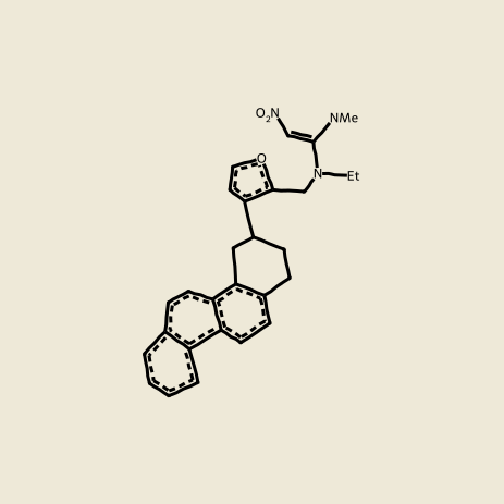 CCN(Cc1occc1C1CCc2ccc3c(ccc4ccccc43)c2C1)C(=C[N+](=O)[O-])NC